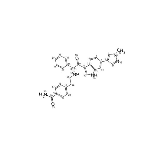 Cn1cc(-c2ccc3c(C(=O)[C@H](NCCc4ccc(C(N)=O)cc4)c4ccccc4)c[nH]c3c2)cn1